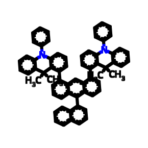 CC1(C)c2ccccc2N(c2ccccc2)c2cccc(-c3cccc4c(-c5cccc6ccccc56)c5cccc(-c6cccc7c6C(C)(C)c6ccccc6N7c6ccccc6)c5cc34)c21